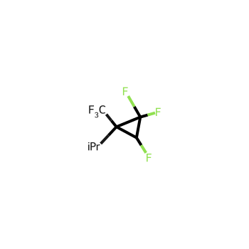 CC(C)C1(C(F)(F)F)C(F)C1(F)F